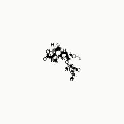 CC[C@@]1(CO[PH](=O)O[PH](=O)OP=O)C[C@@H](F)[C@H](n2cnc(C(C)=O)c2N=C(C)C)O1